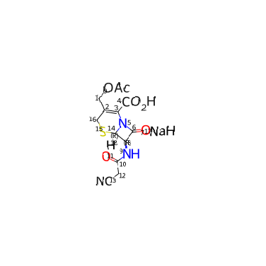 CC(=O)OCC1=C(C(=O)O)N2C(=O)[C@@H](NC(=O)CC#N)[C@H]2SC1.[NaH]